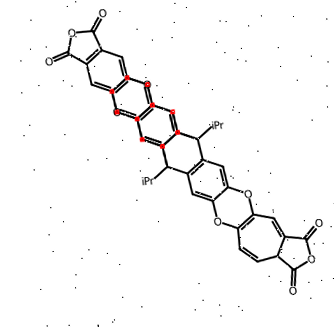 CC(C)C12c3cc4c(cc3C(C(C)C)(c3cc5ccccc5cc31)c1cc3oc5cc6c(=O)oc(=O)c6cc5oc3cc12)OC1=C(C=CC2C(=O)OC(=O)C2=C1)O4